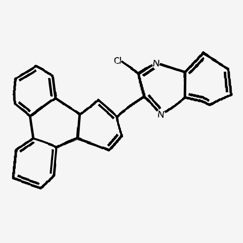 Clc1nc2ccccc2nc1C1=CC2c3ccccc3-c3ccccc3C2C=C1